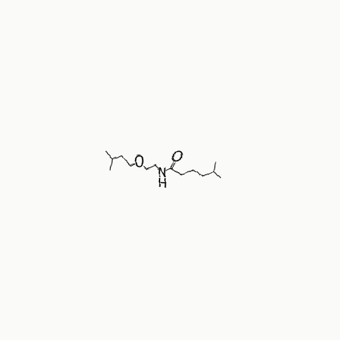 CC(C)CCCC(=O)NCCOCCC(C)C